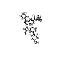 CS(=O)(=O)NC(=O)c1cc(-c2ccc(N3CCC(C#N)CC3)nc2)c2c(n1)n(-c1ccccc1)nc2[C@H]1C[C@@H](F)C1